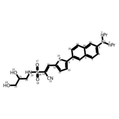 CCCN(CCC)c1ccc2cc(-c3ccc(/C=C(\C#N)S(=O)(=O)NCC(O)CO)s3)ccc2c1